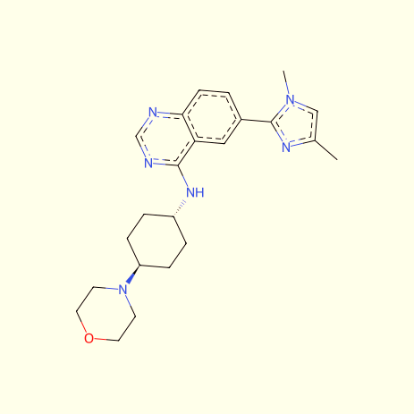 Cc1cn(C)c(-c2ccc3ncnc(N[C@H]4CC[C@H](N5CCOCC5)CC4)c3c2)n1